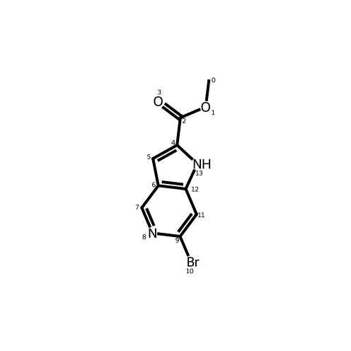 COC(=O)c1cc2cnc(Br)cc2[nH]1